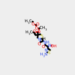 CC=CC1(C(=O)OC(C)OC(=O)OCC)CS[C@@H]2C(NC(=O)C(=NO)c3csc(N)n3)C(=O)N2C1